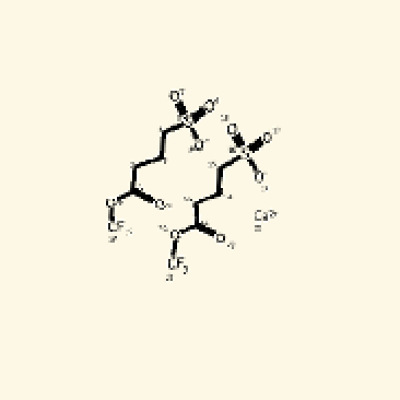 O=C(CCCS(=O)(=O)[O-])OC(F)(F)F.O=C(CCCS(=O)(=O)[O-])OC(F)(F)F.[Ca+2]